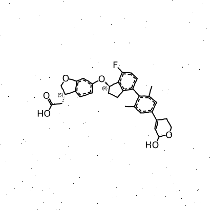 Cc1cc(C2=CC(O)OCC2)cc(C)c1-c1ccc(F)c2c1CC[C@H]2Oc1ccc2c(c1)OC[C@H]2CC(=O)O